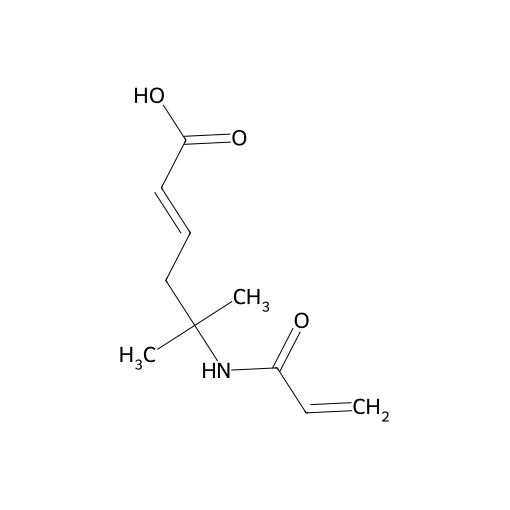 C=CC(=O)NC(C)(C)CC=CC(=O)O